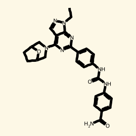 CCn1ncc2c(N3CC4CCC(C3)O4)nc(-c3ccc(NC(=O)Nc4ccc(C(N)=O)cc4)cc3)nc21